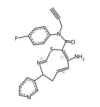 C#CCN(C(=O)/C1=C(N)/C=C/CC(c2cccnc2)/N=C/S1)c1ccc(F)cc1